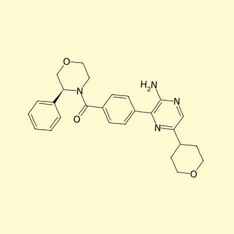 Nc1ncc(C2CCOCC2)nc1-c1ccc(C(=O)N2CCOC[C@@H]2c2ccccc2)cc1